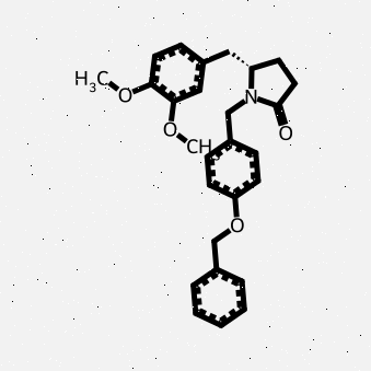 COc1ccc(C[C@@H]2CCC(=O)N2Cc2ccc(OCc3ccccc3)cc2)cc1OC